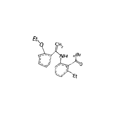 C=C(Nc1cccc(CC)c1C(=O)[C@H](C)CC)c1ccccc1OCC